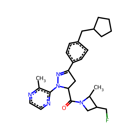 Cc1nccnc1N1N=C(c2ccc(CC3CCCC3)cc2)CC1C(=O)N1CC(CF)C1C